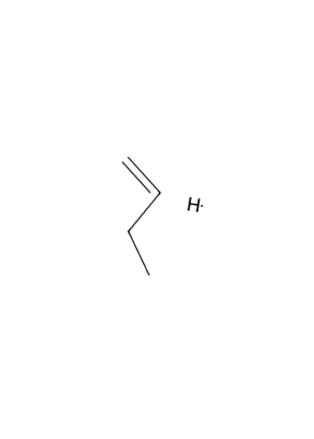 C=CCC.[H]